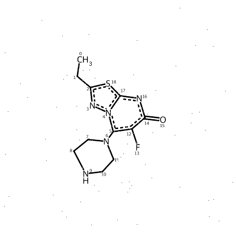 CCc1nn2c(N3CCNCC3)c(F)c(=O)nc2s1